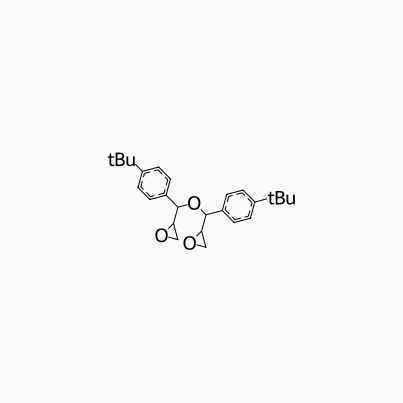 CC(C)(C)c1ccc(C(OC(c2ccc(C(C)(C)C)cc2)C2CO2)C2CO2)cc1